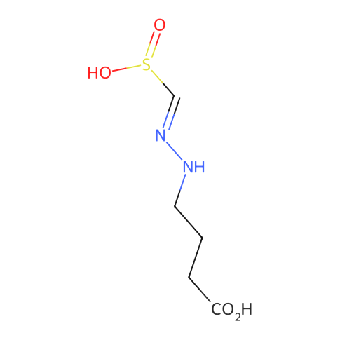 O=C(O)CCCNN=CS(=O)O